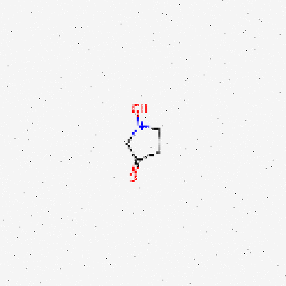 O=C1CCN(O)C1